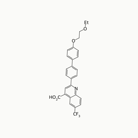 CCOCCOc1ccc(-c2ccc(-c3cc(C(=O)O)c4cc(C(F)(F)F)ccc4n3)cc2)cc1